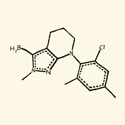 Bc1c2c(nn1C)N(c1c(C)cc(C)cc1Cl)CCC2